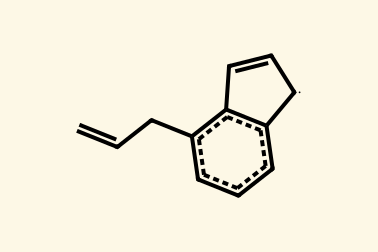 C=CCc1cccc2c1C=C[CH]2